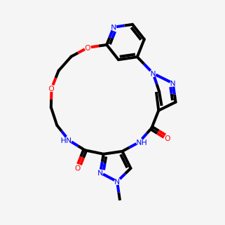 Cn1cc2c(n1)C(=O)NCCOCCOc1cc(ccn1)-n1cc(cn1)C(=O)N2